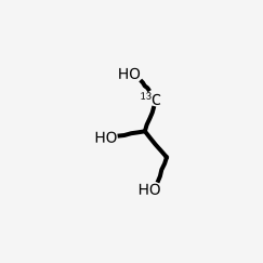 OCC(O)[13CH2]O